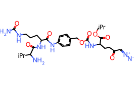 CC(C)OC(=O)C(CCC(=O)C=[N+]=[N-])NC(=O)OCc1ccc(NC(=O)C(CCCNC(N)=O)NC(=O)C(N)C(C)C)cc1